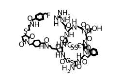 N=C(N)NCCC[C@@H]1NC(=O)[C@@H]2CSSC[C@H](NC(=O)[C@H](CC(=O)O)NC(=O)CNC1=O)C(=O)N[C@@H](Cc1ccccc1)C(=O)NC(C(N)=O)SCC(=O)N[C@@H](CCCCNC(=O)C1CCC(CN3C(=O)CC(SCCNC(=O)c4ccc(CF)cc4)C3=O)CC1)C(=O)N2